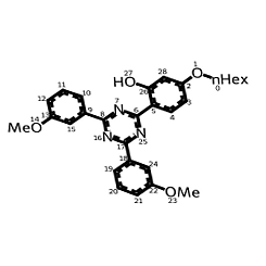 CCCCCCOc1ccc(-c2nc(-c3cccc(OC)c3)nc(-c3cccc(OC)c3)n2)c(O)c1